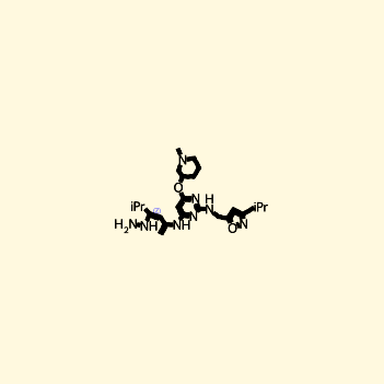 C=C(/C=C(\NN)C(C)C)Nc1cc(OC2CCCN(C)C2)nc(NCc2cc(C(C)C)no2)n1